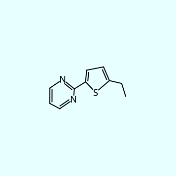 CCc1ccc(-c2ncccn2)s1